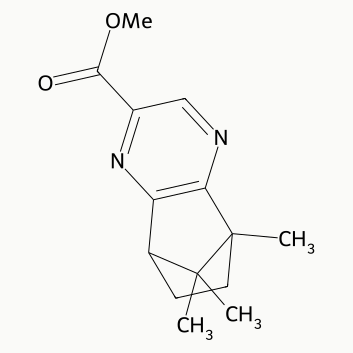 COC(=O)c1cnc2c(n1)C1CCC2(C)C1(C)C